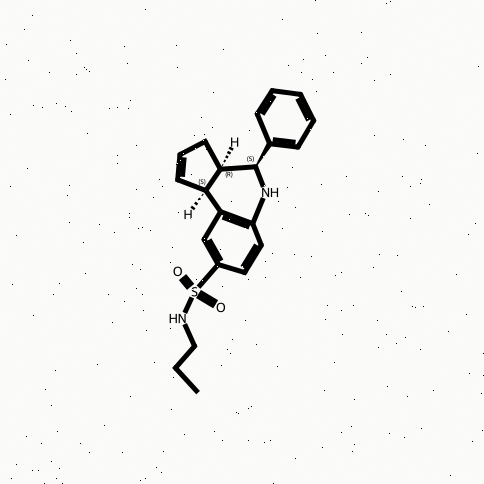 CCCNS(=O)(=O)c1ccc2c(c1)[C@H]1C=CC[C@H]1[C@@H](c1ccccc1)N2